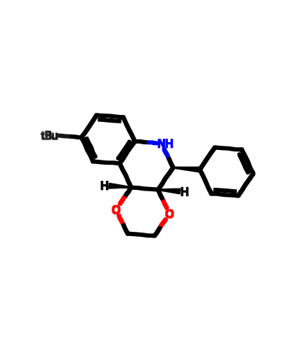 CC(C)(C)c1ccc2c(c1)[C@H]1OCCO[C@H]1[C@H](C1C=CC=CC1)N2